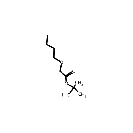 CC(C)(C)OC(=O)COCCCI